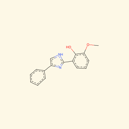 COc1cccc(-c2nc(-c3ccccc3)c[nH]2)c1O